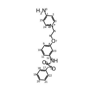 Nc1cc[n+](CCOc2cccc(NS(=O)(=O)c3ccccc3)c2)cc1